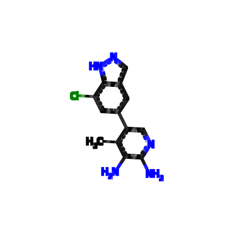 Cc1c(-c2cc(Cl)c3[nH]ncc3c2)cnc(N)c1N